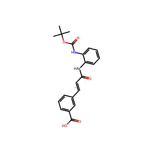 CC(C)(C)OC(=O)Nc1ccccc1[AsH]C(=O)/C=C/c1cccc(C(=O)O)c1